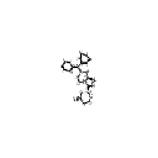 c1ccc(C(c2ccccc2)N2CCn3c(nnc3C3CNCCO3)C2)cc1